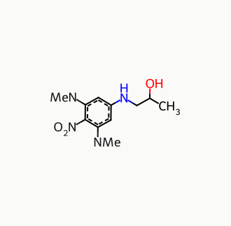 CNc1cc(NCC(C)O)cc(NC)c1[N+](=O)[O-]